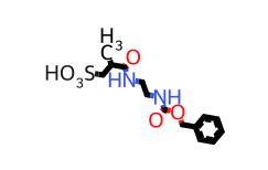 CC(CS(=O)(=O)O)C(=O)NCCNC(=O)OCc1ccccc1